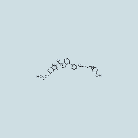 O=C(O)CN1CCc2nc(C(=O)N3CCc4c(-c5cccc(OCCCCN6CCC(O)C6)c5)cccc43)sc2C1